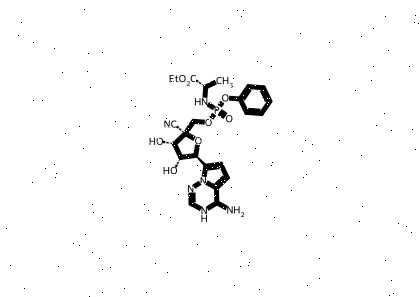 CCOC(=O)[C@H](C)NP(=O)(OC[C@@]1(C#N)O[C@@H](c2ccc3n2N=CNC3N)[C@H](O)[C@@H]1O)Oc1ccccc1